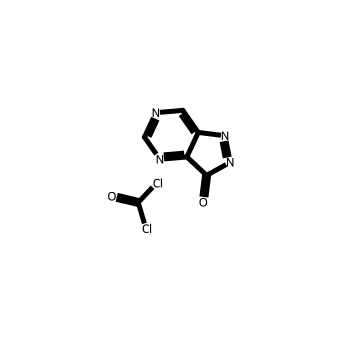 O=C(Cl)Cl.O=C1N=Nc2cncnc21